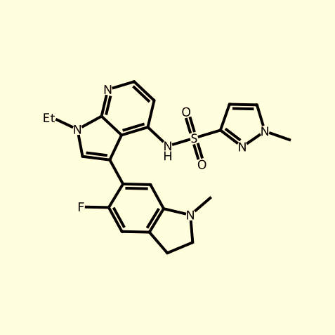 CCn1cc(-c2cc3c(cc2F)CCN3C)c2c(NS(=O)(=O)c3ccn(C)n3)ccnc21